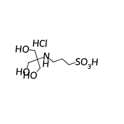 Cl.O=S(=O)(O)CCCNC(CO)(CO)CO